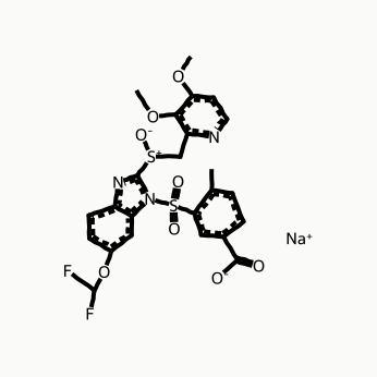 COc1ccnc(C[S+]([O-])c2nc3ccc(OC(F)F)cc3n2S(=O)(=O)c2cc(C(=O)[O-])ccc2C)c1OC.[Na+]